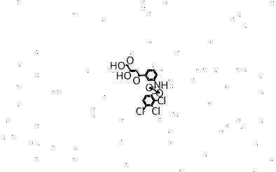 O=C(O)/C(O)=C/C(=O)c1cccc(NS(=O)(=O)c2ccc(Cl)c(Cl)c2Cl)c1